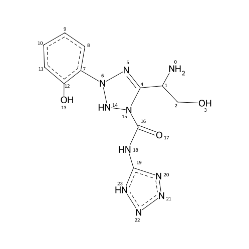 NC(CO)C1=NN(c2ccccc2O)NN1C(=O)Nc1nnn[nH]1